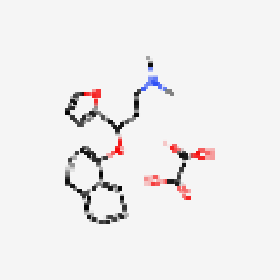 CN(C)CCC(Oc1cccc2ccccc12)c1ccco1.O=C(O)C(=O)O